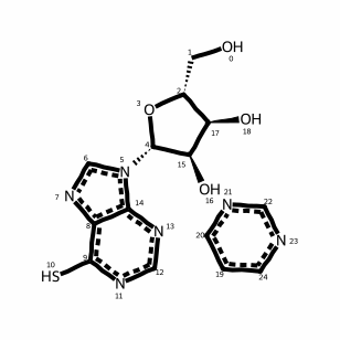 OC[C@H]1O[C@@H](n2cnc3c(S)ncnc32)[C@H](O)[C@@H]1O.c1cncnc1